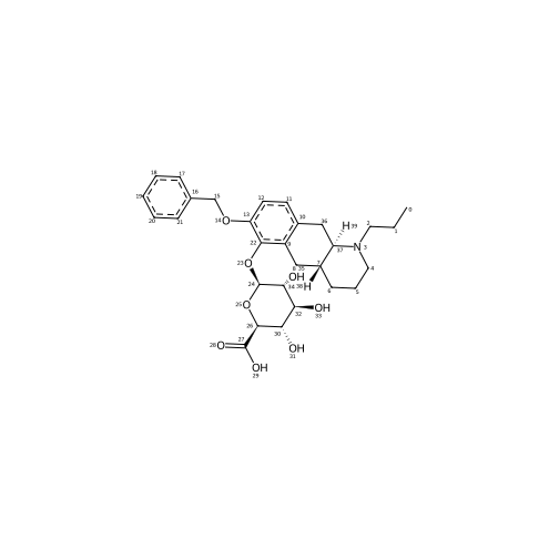 CCCN1CCC[C@@H]2Cc3c(ccc(OCc4ccccc4)c3O[C@@H]3O[C@H](C(=O)O)[C@@H](O)[C@H](O)[C@H]3O)C[C@H]21